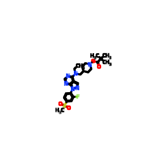 CCN(CC1CCN(OC(=O)C(C)(C)C)CC1)c1ncnc2c1cnn2-c1ccc(S(C)(=O)=O)cc1F